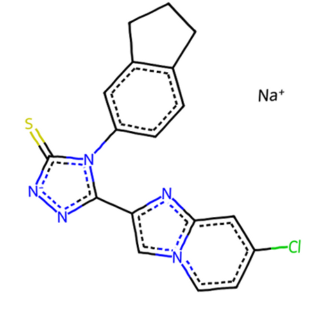 S=c1[n-]nc(-c2cn3ccc(Cl)cc3n2)n1-c1ccc2c(c1)CCC2.[Na+]